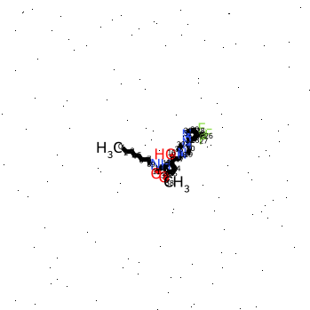 CCCCCCCCCNC(=O)c1cc(C(O)CN2CCN(c3cc(C(F)(F)F)ccn3)CC2)ccc1OC